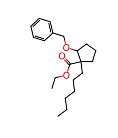 CCCCCCC1(C(=O)OCC)CCCC1OCc1ccccc1